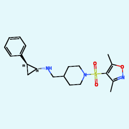 Cc1noc(C)c1S(=O)(=O)N1CCC(CN[C@@H]2C[C@H]2c2ccccc2)CC1